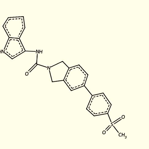 CS(=O)(=O)c1ccc(-c2ccc3c(c2)CN(C(=O)Nc2c[nH]c4ccccc24)C3)cc1